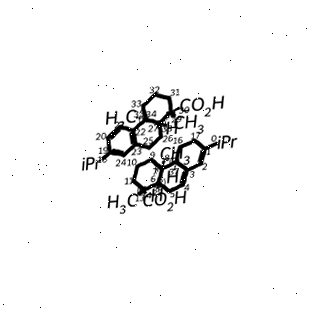 CC(C)C1=CC2=CC[C@@H]3[C@](C)(CCC[C@@]3(C)C(=O)O)[C@H]2CC1.CC(C)c1ccc2c(c1)CC[C@H]1[C@](C)(C(=O)O)CCC[C@]21C